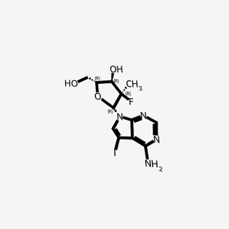 C[C@@]1(F)[C@H](O)[C@@H](CO)O[C@H]1n1cc(I)c2c(N)ncnc21